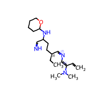 C=C/C(=C\N=C/[C@@H](CC)CCC(C=N)NC1CCCCO1)N(C)C